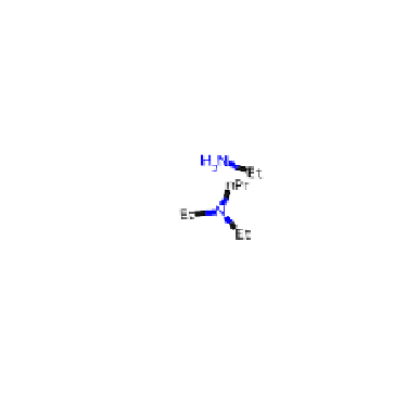 CCCN(CC)CC.CCN